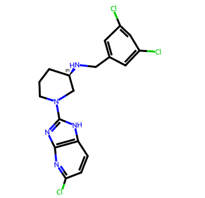 Clc1cc(Cl)cc(CN[C@@H]2CCCN(c3nc4nc(Cl)ccc4[nH]3)C2)c1